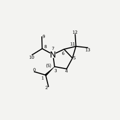 CC(C)[C@@H]1CC2C(N1C(C)C)C2(C)C